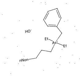 CCCCCCCCCCCC[As+](CC)(CC)Cc1ccccc1.[OH-]